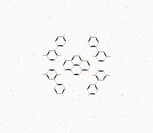 O=S(=O)(O)c1ccc(-c2cc(S(=O)(=O)O)ccc2Oc2cc(Oc3ccc(S(=O)(=O)O)cc3-c3ccc(S(=O)(=O)O)cc3)c3ccc4c(Oc5ccc(S(=O)(=O)O)cc5-c5ccc(S(=O)(=O)O)cc5)cc(Oc5ccc(S(=O)(=O)O)cc5-c5ccc(S(=O)(=O)O)cc5)c5ccc2c3c54)cc1